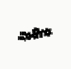 OC[C@H]1O[C@@H](n2cnc3c(NCc4ccccc4)ncnc32)CC1O